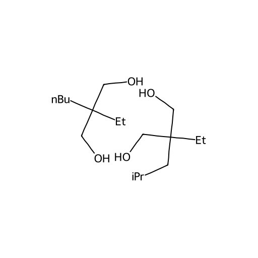 CCC(CO)(CO)CC(C)C.CCCCC(CC)(CO)CO